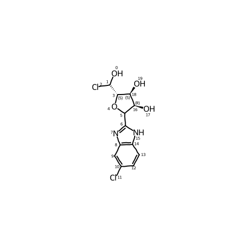 OC(Cl)[C@H]1OC(c2nc3cc(Cl)ccc3[nH]2)[C@H](O)[C@@H]1O